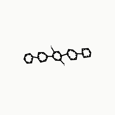 Ic1cc(-c2ccc(-c3ccccc3)cc2)c(I)cc1-c1ccc(-c2ccccc2)cc1